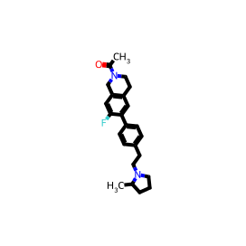 CC(=O)N1CCc2cc(-c3ccc(CCN4CCCC4C)cc3)c(F)cc2C1